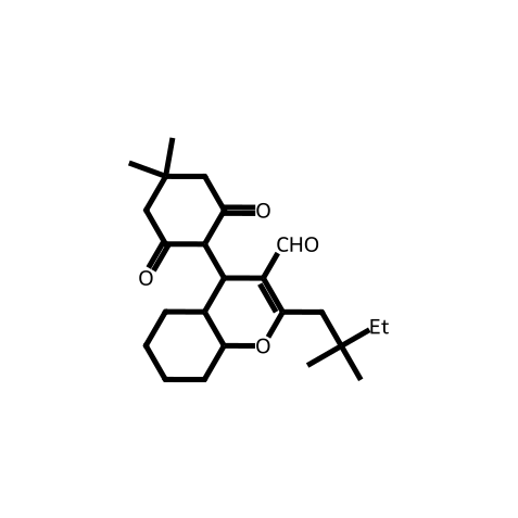 CCC(C)(C)CC1=C(C=O)C(C2C(=O)CC(C)(C)CC2=O)C2CCCCC2O1